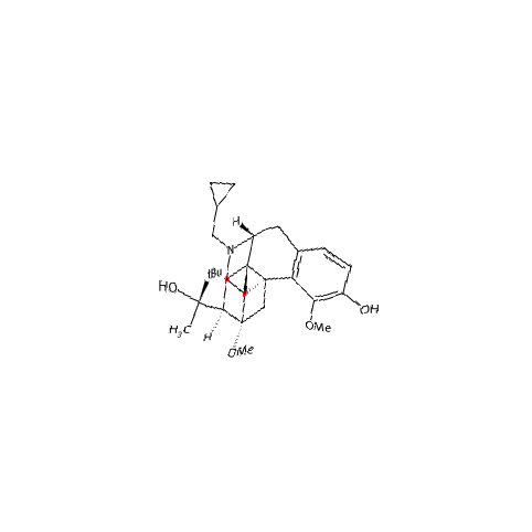 COc1c(O)ccc2c1[C@]13CCN(CC4CC4)[C@H](C2)[C@]12CC[C@@](OC)(C3)[C@@H]([C@](C)(O)C(C)(C)C)C2